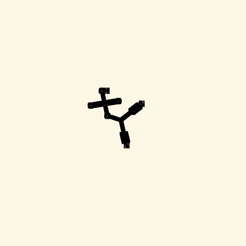 N#CC(C#N)OS(=O)(=O)O